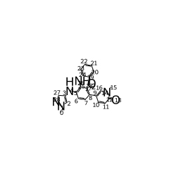 Cn1cc(Nc2ccc(-c3ccc(=O)n(C)c3)c(Oc3ccccc3)c2N)cn1